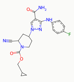 N#CC1CC(n2cc(C(N)=O)c(Nc3ccc(F)cc3)n2)CCN1C(=O)OCC1CC1